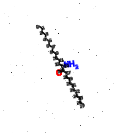 CCCCCCCCCCCCCC(N)C(=O)CCCCCCCCCCC